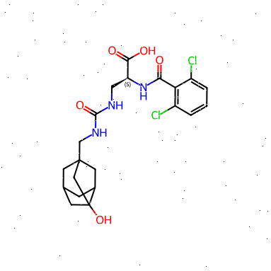 O=C(NC[C@H](NC(=O)c1c(Cl)cccc1Cl)C(=O)O)NCC12CC3CC(C1)C(O)(C3)C2